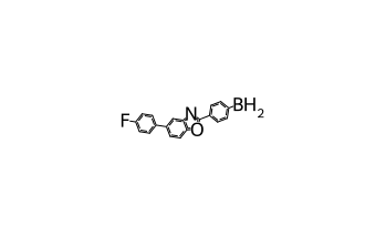 Bc1ccc(-c2nc3cc(-c4ccc(F)cc4)ccc3o2)cc1